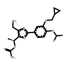 C[C@H](OC(N)=O)c1oc(-c2ccc(OC(F)F)c(OCC3CC3)c2)nc1CN